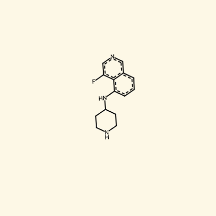 Fc1cncc2cccc(NC3CCNCC3)c12